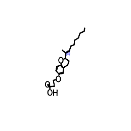 CCCCCCC/C=C(\C)C1CCc2cc(OCCC(=O)O)ccc2O1